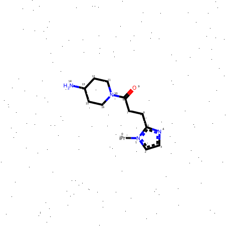 CC(C)n1ccnc1CCC(=O)N1CCC(N)CC1